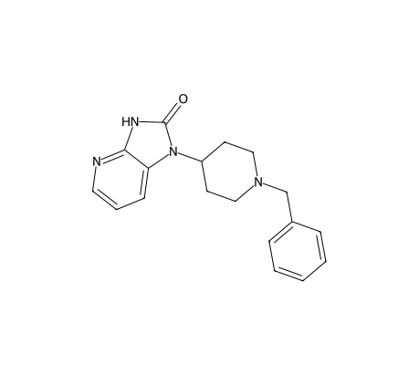 O=c1[nH]c2ncccc2n1C1CCN(Cc2ccccc2)CC1